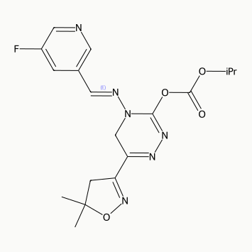 CC(C)OC(=O)OC1=NN=C(C2=NOC(C)(C)C2)CN1/N=C/c1cncc(F)c1